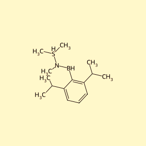 CC(C)c1cccc(C(C)C)c1BN(C)[SH](C)C